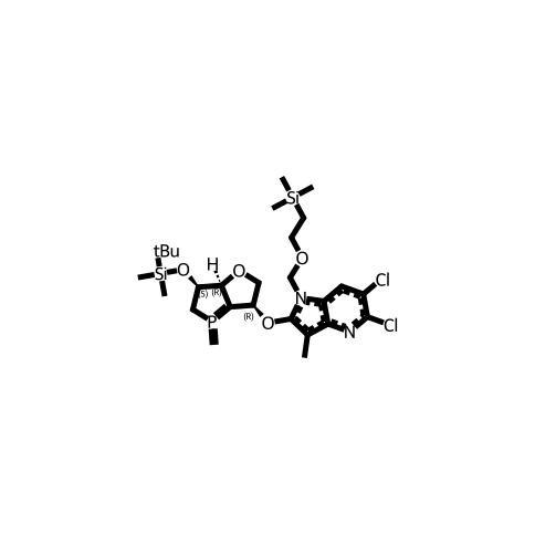 C=P1=C2[C@H](Oc3c(C)c4nc(Cl)c(Cl)cc4n3COCC[Si](C)(C)C)CO[C@@H]2[C@H](O[Si](C)(C)C(C)(C)C)C1